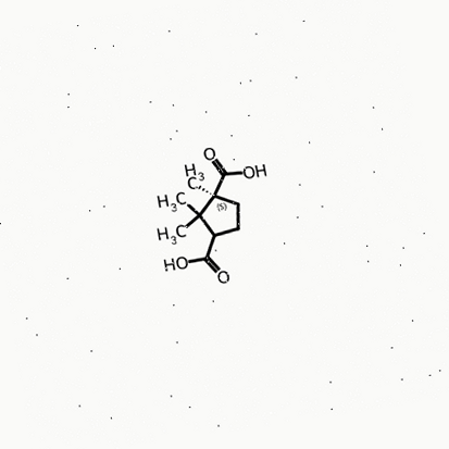 CC1(C)C(C(=O)O)CC[C@]1(C)C(=O)O